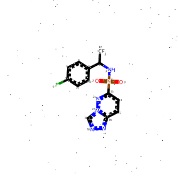 O=S(=O)(NC(c1ccc(F)cc1)C(F)(F)F)c1ccc2nncn2n1